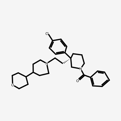 O=C(c1ccccc1)N1CCC[C@](CCN2CCC(C3CCOCC3)CC2)(c2ccc(Cl)cc2)C1